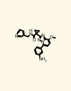 COc1ccc(-c2cccc(N)c2)n2nc(C3(C(=O)NCc4cccnc4)CC3)nc12